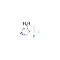 NC1C[N]CC1C(F)(F)F